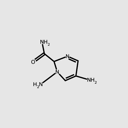 NC(=O)C1N=CC(N)=CN1N